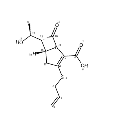 C=CCSC1=C(C(=O)O)N2C(=O)[C@@H]([C@H](C)O)[C@H]2C1